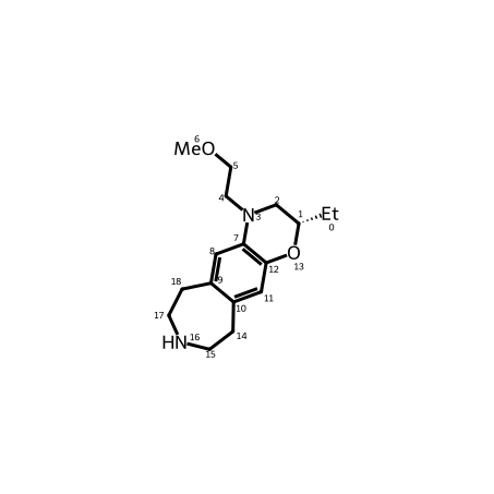 CC[C@H]1CN(CCOC)c2cc3c(cc2O1)CCNCC3